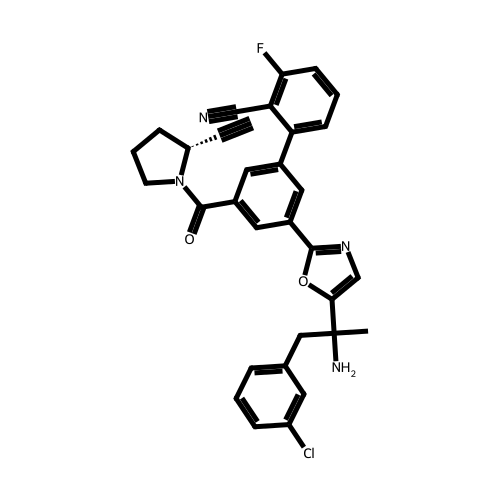 C#C[C@H]1CCCN1C(=O)c1cc(-c2ncc(C(C)(N)Cc3cccc(Cl)c3)o2)cc(-c2cccc(F)c2C#N)c1